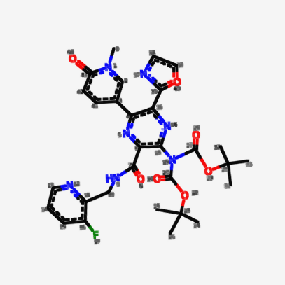 Cn1cc(-c2nc(C(=O)NCc3ncccc3F)c(N(C(=O)OC(C)(C)C)C(=O)OC(C)(C)C)nc2-c2ncco2)ccc1=O